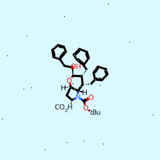 CC(C)(C)OC(=O)N1[C@H]2[C@@H](Cc3ccccc3)[C@@H](Cc3ccccc3)[C@H](C(O)Cc3ccccc3)O[C@@H]2C[C@H]1C(=O)O